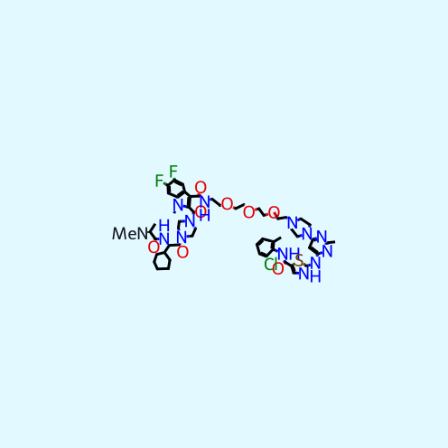 CN[C@@H](C)C(=O)N[C@H](C(=O)N1CCN(C(=O)c2c(C(=O)NCCOCCOCCOCCN3CCN(c4cc(Nc5ncc(C(=O)Nc6c(C)cccc6Cl)s5)nc(C)n4)CC3)c3cc(F)c(F)cc3n2C)CC1)C1CCCCC1